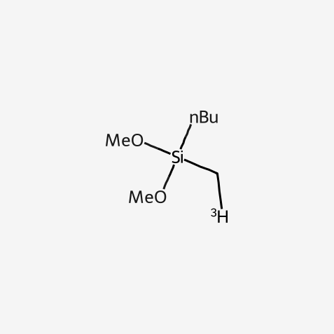 [3H]C[Si](CCCC)(OC)OC